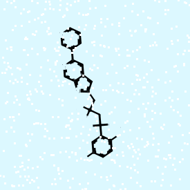 Cc1ccc(F)cc1C(C)(C)CC(O)(Cc1cc2cc(-c3cccnc3)ncc2[nH]1)C(F)(F)F